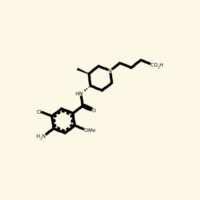 COc1cc(N)c(Cl)cc1C(=O)N[C@H]1CCN(CCCC(=O)O)C[C@@H]1C